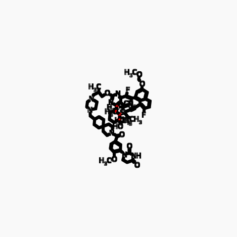 COCOc1cc(-c2ncc3c(N4CCC[C@@](C)(O)C4)nc(OCC(C)CN4CCN(CC5CCC6(CC5)CCN(C(=O)c5ccc(OC)c(N7CCC(=O)NC7=O)c5)CC6)CC4)nc3c2F)c2c(C#C[Si](C(C)C)(C(C)C)C(C)C)c(F)ccc2c1